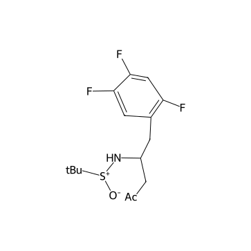 CC(=O)CC(Cc1cc(F)c(F)cc1F)N[S+]([O-])C(C)(C)C